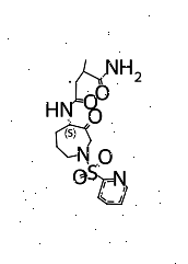 CC([CH]C(=O)N[C@H]1CCCN(S(=O)(=O)c2ccccn2)CC1=O)C(N)=O